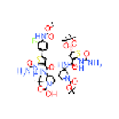 CC(C)(C)OC(=O)N1CCC[C@H](NC(=O)c2cc(B3OC(C)(C)C(C)(C)O3)sc2NC(N)=O)C1.CCOC(=O)Nc1ccc(-c2cc(C(=O)N[C@H]3CCCN(C(=O)O)C3C(C)(C)C)c(NC(N)=O)s2)cc1F